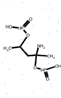 CC(CC(C)(N)O[PH](=O)O)O[PH](=O)O